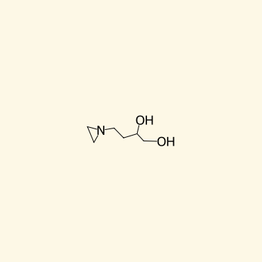 OCC(O)CCN1CC1